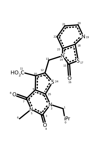 CC(C)Cn1c(=O)n(C)c(=O)c2c(C(=O)O)c(Cn3c(=O)sc4ncccc43)sc21